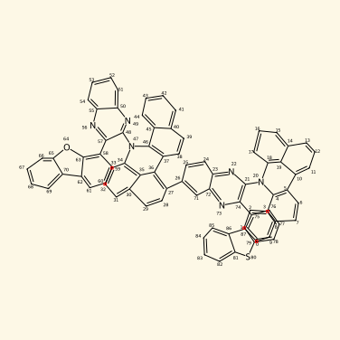 c1ccc2c3c(ccc2c1)-c1cccc2cccc(c12)N3c1nc2ccc(-c3ccc4cccc5c4c3-c3ccc4ccccc4c3N5c3nc4ccccc4nc3-c3cccc4c3oc3ccccc34)cc2nc1-c1cccc2sc3ccccc3c12